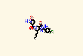 CCCCC1CN(C(=O)C2CCC(=O)NC2)Cc2c1nc(-c1ccc(Cl)cc1)[nH]c2=O